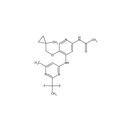 CC(=O)Nc1cc(Nc2cc(C)nc(C(C)(F)F)n2)c(OCC2(C)CC2)cn1